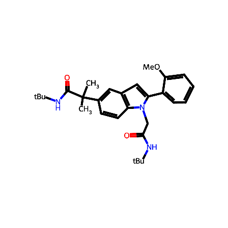 COc1ccccc1-c1cc2cc(C(C)(C)C(=O)NC(C)(C)C)ccc2n1CC(=O)NC(C)(C)C